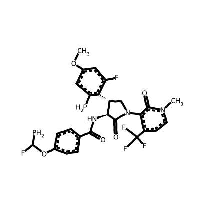 COc1cc(F)c([C@@H]2CN(c3c(C(F)(F)F)ccn(C)c3=O)C(=O)[C@H]2NC(=O)c2ccc(OC(F)P)cc2)c(P)c1